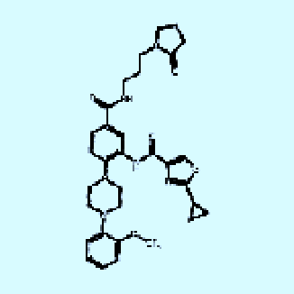 O=C(NCCCN1CCCC1=O)c1ccc(N2CCN(c3ccccc3OC(F)(F)F)CC2)c(NC(=O)c2coc(C3CC3)n2)c1